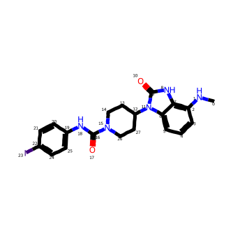 CNc1cccc2c1[nH]c(=O)n2C1CCN(C(=O)Nc2ccc(I)cc2)CC1